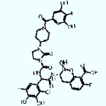 O=C(O)c1c(F)ccc2c1OB(O)[C@@H](NC(=O)[C@H](NC(=O)N1CCN(C3CCN(C(=O)c4cc(O)c(F)c(O)c4)CC3)C1=O)c1cc(F)c(O)c(O)c1Cl)C2